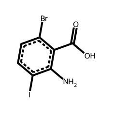 Nc1c(I)ccc(Br)c1C(=O)O